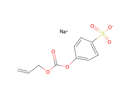 C=CCOC(=O)Oc1ccc(S(=O)(=O)[O-])cc1.[Na+]